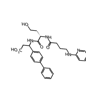 O=C(O)CC(NC(=O)[C@H](CCO)NC(=O)CCCNc1ccccn1)c1ccc(-c2ccccc2)cc1